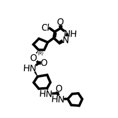 O=C(NC1CCCCC1)N[C@H]1CC[C@H](NC(=O)O[C@@H]2CCC(c3cn[nH]c(=O)c3Cl)C2)CC1